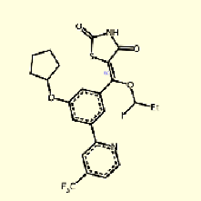 CCC(I)O/C(=C1/SC(=O)NC1=O)c1cc(OC2CCCC2)cc(-c2cc(C(F)(F)F)ccn2)c1